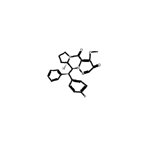 [CH2]Oc1c2n(ncc1=O)[C@@H]([C@H](c1ccccc1)c1ccc(F)cc1)[C@H]1CCCN1C2=O